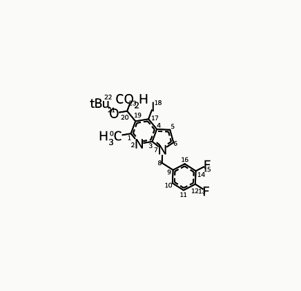 Cc1nc2c(ccn2Cc2ccc(F)c(F)c2)c(I)c1C(OC(C)(C)C)C(=O)O